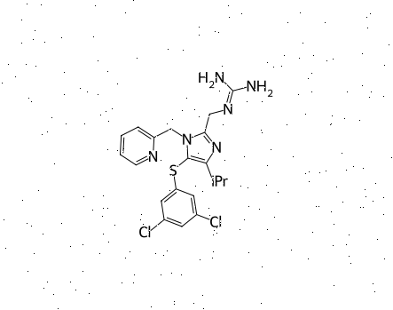 CC(C)c1nc(CN=C(N)N)n(Cc2ccccn2)c1Sc1cc(Cl)cc(Cl)c1